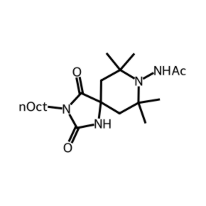 CCCCCCCCN1C(=O)NC2(CC(C)(C)N(NC(C)=O)C(C)(C)C2)C1=O